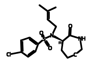 CC(C)=CCN([C@@H]1CCCCNC1=O)S(=O)(=O)c1ccc(Cl)cc1